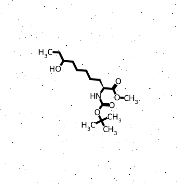 CCC(O)CCCCC[C@H](NC(=O)OC(C)(C)C)C(=O)OC